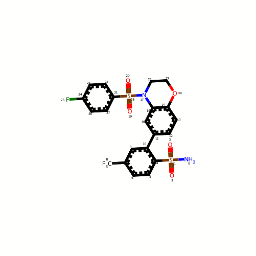 NS(=O)(=O)c1ccc(C(F)(F)F)cc1-c1ccc2c(c1)N(S(=O)(=O)c1ccc(F)cc1)CCO2